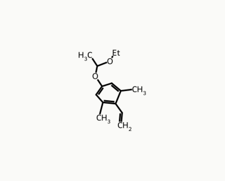 C=Cc1c(C)cc(OC(C)OCC)cc1C